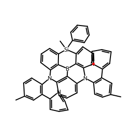 Cc1ccc(N2c3cccc4c3B3c5c2cccc5[Si](C)(c2ccccc2)c2cccc(c23)N4c2ccc(C)cc2-c2ccccn2)c(-c2ccccn2)c1